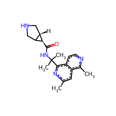 Cc1cc2c(C)nccc2c(C(C)(C)NC(=O)[C@H]2C3CNC[C@@H]32)n1